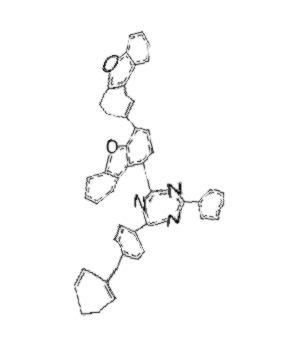 C1=CC(c2ccc(-c3nc(-c4ccccc4)nc(-c4ccc(C5=Cc6c(oc7ccccc67)CC5)c5oc6ccccc6c45)n3)cc2)=CCC1